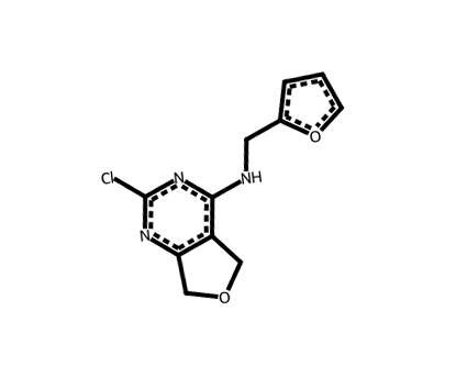 Clc1nc2c(c(NCc3ccco3)n1)COC2